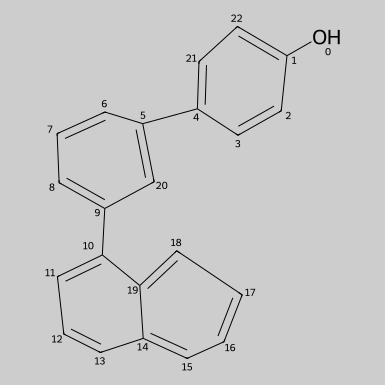 Oc1ccc(-c2cccc(-c3cccc4ccccc34)c2)cc1